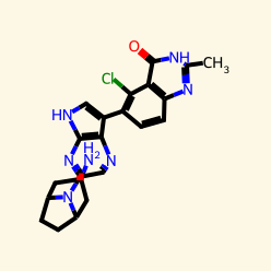 Cc1nc2ccc(-c3c[nH]c4nc(N5C6CCC5CC(N)C6)cnc34)c(Cl)c2c(=O)[nH]1